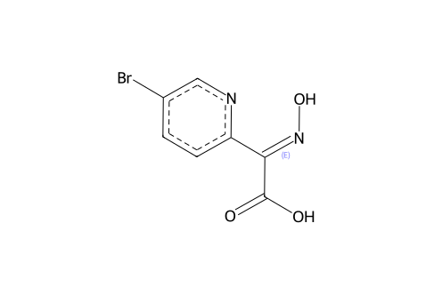 O=C(O)/C(=N/O)c1ccc(Br)cn1